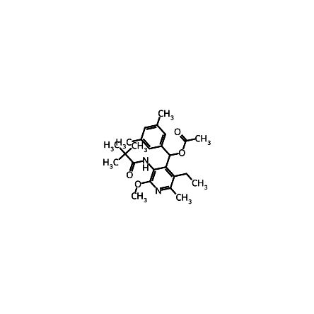 CCc1c(C)nc(OC)c(NC(=O)C(C)(C)C)c1C(OC(C)=O)c1cc(C)cc(C)c1